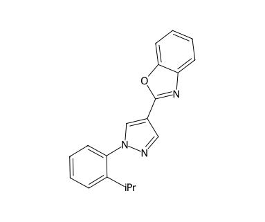 CC(C)c1ccccc1-n1cc(-c2nc3ccccc3o2)cn1